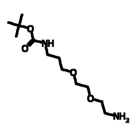 CC(C)(C)OC(=O)NCCCOCCOCCN